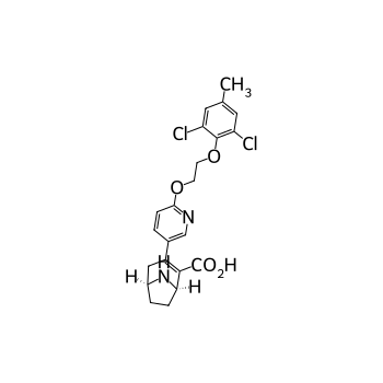 Cc1cc(Cl)c(OCCOc2ccc(C3=C(C(=O)O)[C@H]4CC[C@@H](C3)N4)cn2)c(Cl)c1